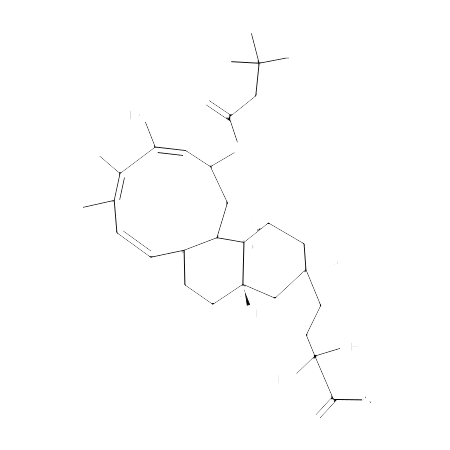 CC1=C/C(SC(=O)CC(F)(F)F)CC2[C@](C)(\C=C/C(O)=C\1O)CC[C@@]1(C)C[C@](C)(CCC(C)(C)C(N)=O)CC[C@]21C